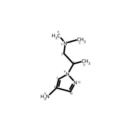 CC(CN(C)C)n1cc(N)cn1